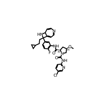 CO[C@@H]1C[C@H](C(=O)Nc2cc(C3(CCC4CC4)NC4C=CN=CC=C43)ccc2F)N(C(=O)Nc2ccc(Cl)cn2)C1